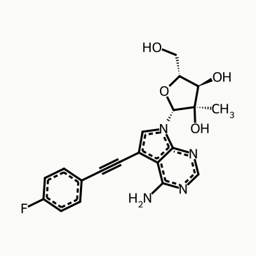 C[C@@]1(O)[C@H](O)[C@@H](CO)O[C@H]1n1cc(C#Cc2ccc(F)cc2)c2c(N)ncnc21